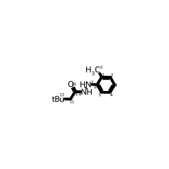 Cc1ccccc1NNC(=O)CC(C)(C)C